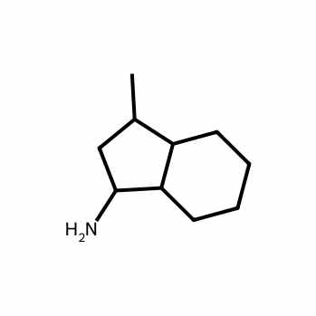 CC1CC(N)C2CCCCC12